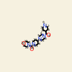 CN1CCC(C(=O)N2CCN(C3CCN(C(=O)N4CCOCC4)CC3)CC2)CC1